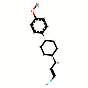 CCOc1ccc([C@H]2CC[C@H](CC=CF)CC2)cc1